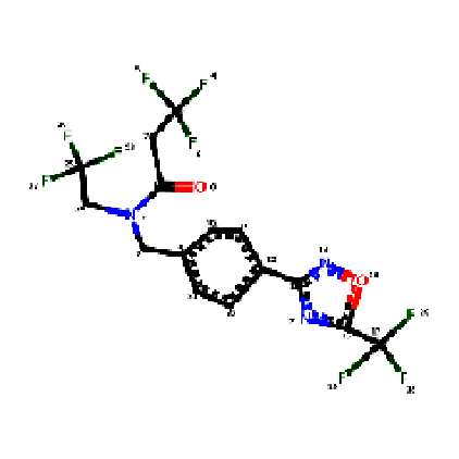 O=C(CC(F)(F)F)N(Cc1ccc(-c2noc(C(F)(F)F)n2)cc1)CC(F)(F)F